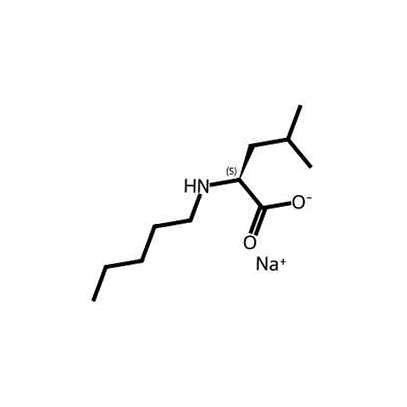 CCCCCN[C@@H](CC(C)C)C(=O)[O-].[Na+]